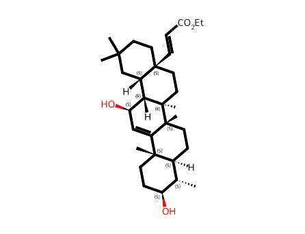 CCOC(=O)/C=C/[C@]12CCC(C)(C)C[C@H]1[C@H]1[C@H](O)C=C3[C@@]4(C)CC[C@H](O)[C@@H](C)[C@@H]4CC[C@@]3(C)[C@]1(C)CC2